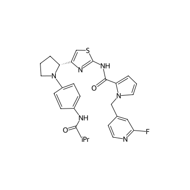 CC(C)C(=O)Nc1ccc(N2CCC[C@@H]2c2csc(NC(=O)c3cccn3Cc3ccnc(F)c3)n2)cc1